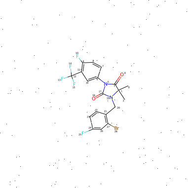 CC1(C)C(=O)N(c2ccc(F)c(C(F)(F)F)c2)C(=O)N1Cc1ccc(F)cc1Br